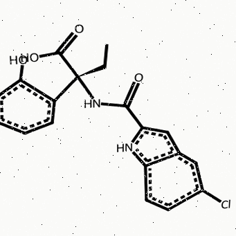 CC[C@](NC(=O)c1cc2cc(Cl)ccc2[nH]1)(C(=O)O)c1ccccc1O